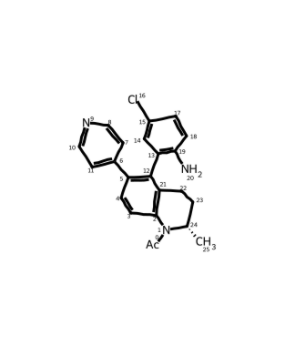 CC(=O)N1c2ccc(-c3ccncc3)c(-c3cc(Cl)ccc3N)c2CC[C@@H]1C